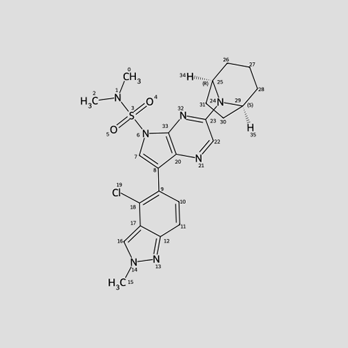 CN(C)S(=O)(=O)n1cc(-c2ccc3nn(C)cc3c2Cl)c2ncc(N3[C@@H]4CCC[C@H]3CC4)nc21